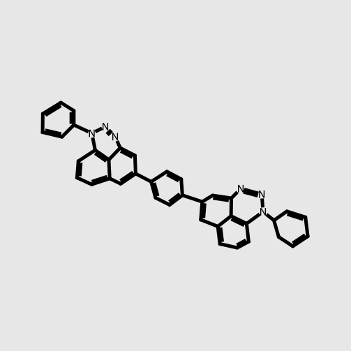 C1=CCC(N2N=Nc3cc(-c4ccc(-c5cc6c7c(cccc7c5)N(c5ccccc5)N=N6)cc4)cc4cccc2c34)C=C1